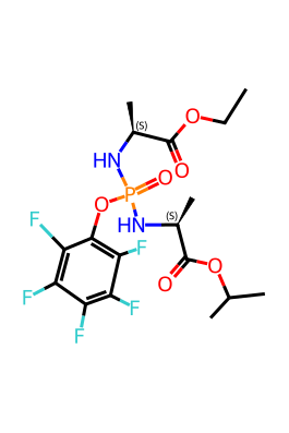 CCOC(=O)[C@H](C)NP(=O)(N[C@@H](C)C(=O)OC(C)C)Oc1c(F)c(F)c(F)c(F)c1F